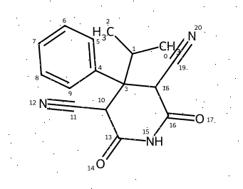 CC(C)C1(c2ccccc2)C(C#N)C(=O)NC(=O)C1C#N